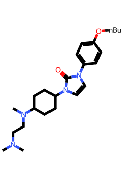 CCCCOc1ccc(-n2ccn(C3CCC(N(C)CCN(C)C)CC3)c2=O)cc1